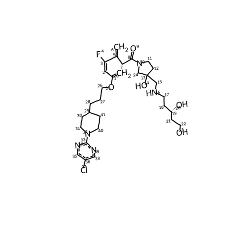 C=C(/C=C(/F)C(=C)CC(=O)N1CCC(O)(CNCC[C@H](O)CCO)C1)OCCCC1CCN(c2ncc(Cl)cn2)CC1